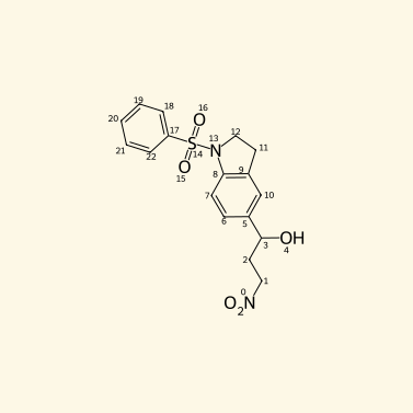 O=[N+]([O-])CCC(O)c1ccc2c(c1)CCN2S(=O)(=O)c1ccccc1